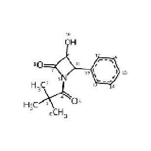 CC(C)(C)C(=O)N1C(=O)C(O)C1c1ccccc1